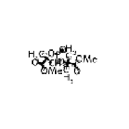 COC(=O)C(C)(C)O[PH](=O)OC(C)(C)C(=O)OC